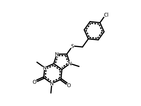 Cn1c(=O)c2c(nc(SCc3ccc(Cl)cc3)n2C)n(C)c1=O